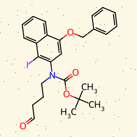 CC(C)(C)OC(=O)N(CCCC=O)c1cc(OCc2ccccc2)c2ccccc2c1I